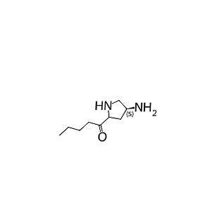 CCCCC(=O)C1C[C@H](N)CN1